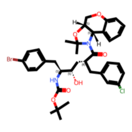 CC(C)(C)OC(=O)N[C@@H](Cc1ccc(Br)cc1)[C@@H](O)C[C@@H](Cc1cccc(Cl)c1)C(=O)N1[C@H]2c3ccccc3OC[C@H]2OC1(C)C